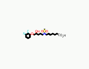 CS(=O)(=O)N(CC=CCCCC(=O)O)CCCC(O)COc1cccc(F)c1F